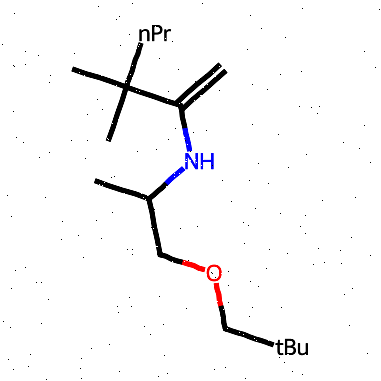 C=C(NC(C)COCC(C)(C)C)C(C)(C)CCC